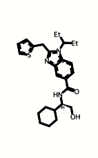 CCC(CC)n1c(Cc2cccs2)nc2cc(C(=O)N[C@@H](CO)C3CCCCC3)ccc21